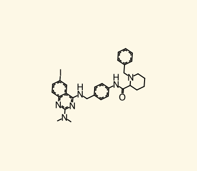 CN(C)c1nc(NCc2ccc(NC(=O)C3CCCCN3Cc3ccccc3)cc2)c2cc(I)ccc2n1